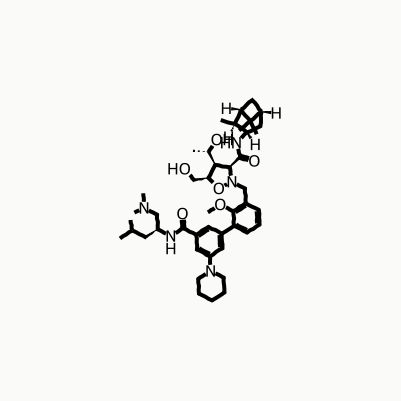 COc1c(CN2O[C@@H](CO)[C@@H]([C@H](C)O)[C@H]2C(=O)N[C@H]2C[C@H]3C[C@@H]([C@@H]2C)C3(C)C)cccc1-c1cc(C(=O)N[C@@H](CC(C)C)CN(C)C)cc(N2CCCCC2)c1